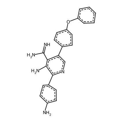 N=C(N)c1c(-c2ccc(Oc3ccccc3)cc2)cnc(-c2ccc(N)cc2)c1N